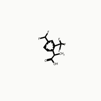 CC(C(=O)O)c1ccc(C(F)F)cc1C(F)(F)F